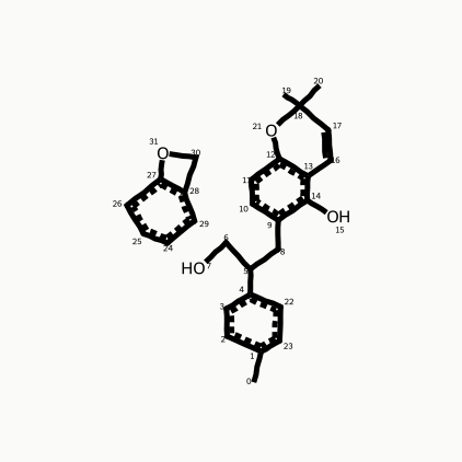 Cc1ccc(C(CO)Cc2ccc3c(c2O)C=CC(C)(C)O3)cc1.c1ccc2c(c1)CO2